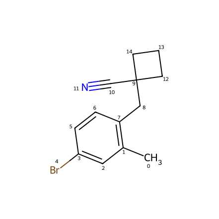 Cc1cc(Br)ccc1CC1(C#N)CCC1